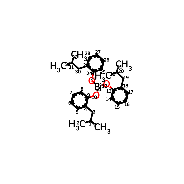 CC(C)Cc1ccccc1[O][Bi]([O]c1ccccc1CC(C)C)[O]c1ccccc1CC(C)C